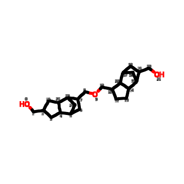 OCC1CC2C3CC(COCC4CCC5C6CC(CC6CO)C45)C(C3)C2C1